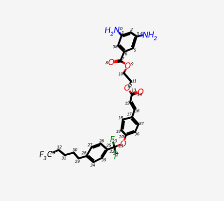 Nc1cc(N)cc(C(=O)OCCOC(=O)C=Cc2ccc(OC(F)(F)c3ccc(CCCCC(F)(F)F)cc3)cc2)c1